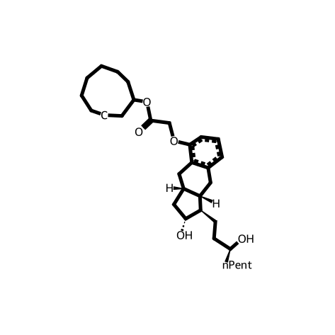 CCCCC[C@H](O)CC[C@@H]1[C@H]2Cc3cccc(OCC(=O)OC4CCCCCCCC4)c3C[C@H]2C[C@H]1O